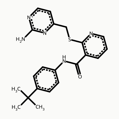 CC(C)(C)c1ccc(NC(=O)c2cccnc2SCc2ccnc(N)n2)cc1